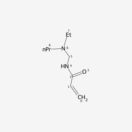 C=CC(=O)NCN(CC)CCC